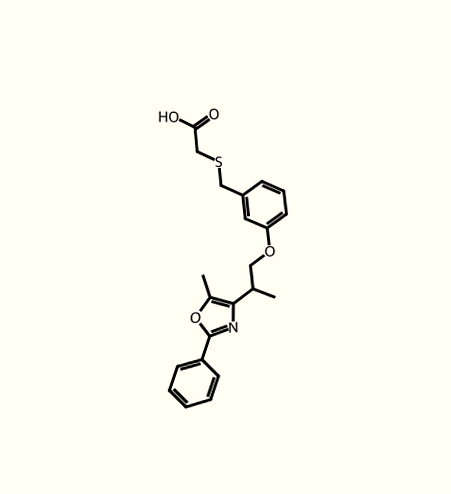 Cc1oc(-c2ccccc2)nc1C(C)COc1cccc(CSCC(=O)O)c1